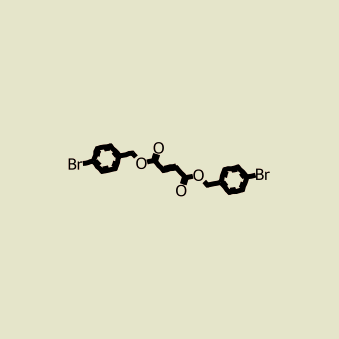 O=C(C=CC(=O)OCc1ccc(Br)cc1)OCc1ccc(Br)cc1